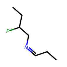 CC/C=N\CC(F)CC